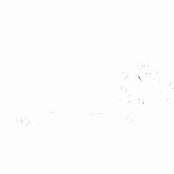 CC1(C)SCCN(S(=O)(=O)c2ccc(-c3cccc(CO)c3)cc2)[C@H]1C(=O)O